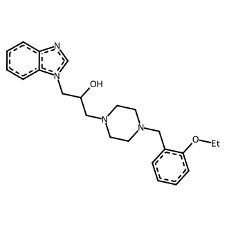 CCOc1ccccc1CN1CCN(CC(O)Cn2cnc3ccccc32)CC1